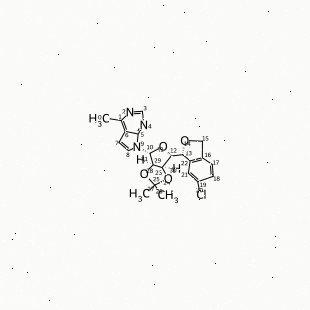 Cc1ncnc2c1ccn2[C@@H]1O[C@H]([C@@H]2OCc3ccc(Cl)cc32)[C@H]2OC(C)(C)O[C@H]21